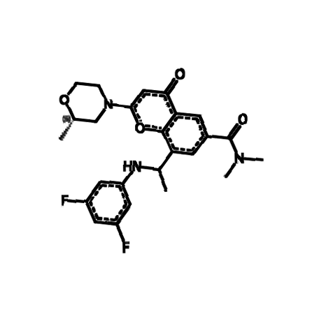 CC(Nc1cc(F)cc(F)c1)c1cc(C(=O)N(C)C)cc2c(=O)cc(N3CCO[C@@H](C)C3)oc12